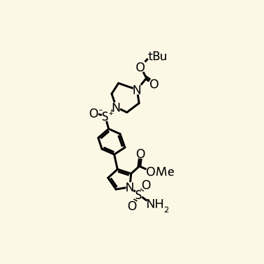 COC(=O)c1c(-c2ccc([S+]([O-])N3CCN(C(=O)OC(C)(C)C)CC3)cc2)ccn1S(N)(=O)=O